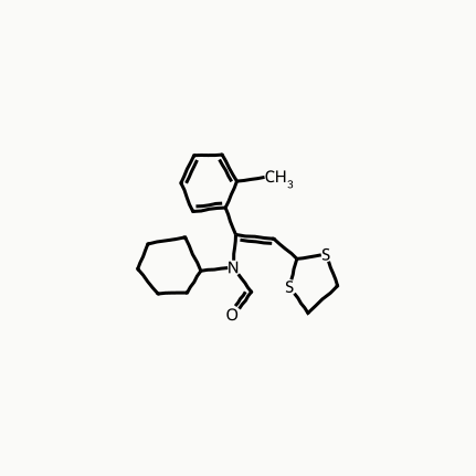 Cc1ccccc1/C(=C/C1SCCS1)N(C=O)C1CCCCC1